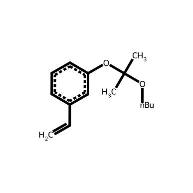 C=Cc1cccc(OC(C)(C)OCCCC)c1